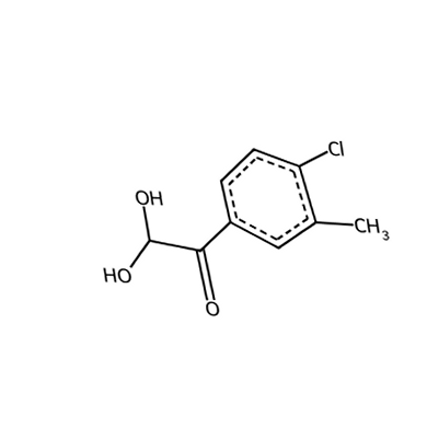 Cc1cc(C(=O)C(O)O)ccc1Cl